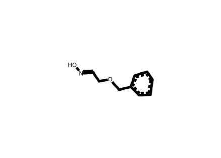 ON=CCOCc1ccccc1